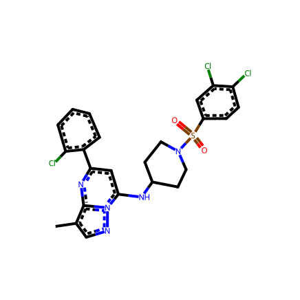 Cc1cnn2c(NC3CCN(S(=O)(=O)c4ccc(Cl)c(Cl)c4)CC3)cc(-c3ccccc3Cl)nc12